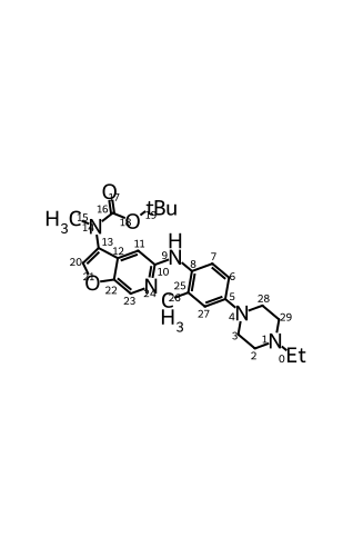 CCN1CCN(c2ccc(Nc3cc4c(N(C)C(=O)OC(C)(C)C)coc4cn3)c(C)c2)CC1